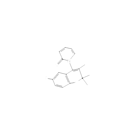 CC1=C(n2ccccc2=O)c2cc(F)ccc2OC1(C)C